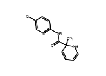 NC1(C(=O)Nc2ccc(Cl)cn2)C=CC=CN1